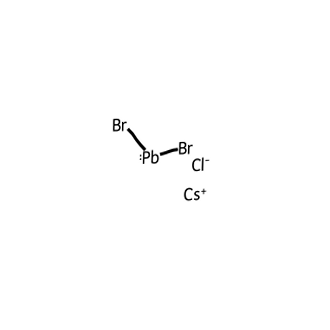 [Br][Pb][Br].[Cl-].[Cs+]